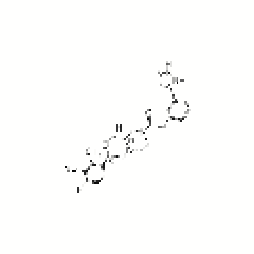 Cc1c([C@@H]2CN3CCN(C(=O)Cc4cccc(N5C=NNN5)c4)C[C@@H]3CO2)ccc(F)c1C#N